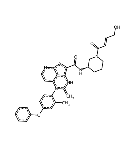 C=c1[nH]c2c(C(=O)N[C@@H]3CCCN(C(=O)/C=C/CO)C3)sc3nccc(c32)n1-c1ccc(Oc2ccccc2)cc1C